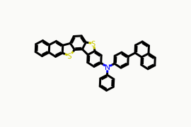 c1ccc(N(c2ccc(-c3cccc4ccccc34)cc2)c2ccc3c(c2)sc2ccc4c5cc6ccccc6cc5sc4c23)cc1